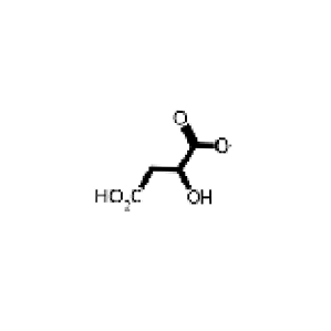 [O]C(=O)C(O)CC(=O)O